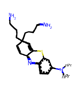 CCCN(CCC)c1ccc2c(c1)SC1=CC(CCCN)(CCCN)C=CC1=N2